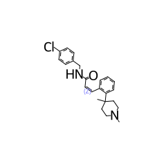 CN1CCC(C)(c2ccccc2/C=C\C(=O)NCc2ccc(Cl)cc2)CC1